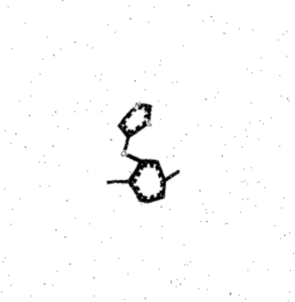 Cc1ccc(C)c(Oc2cn[c]s2)c1